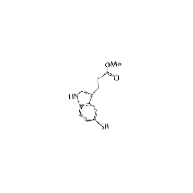 COC(=O)CCC1CNc2ccc(S)cc21